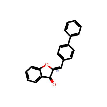 O=C1/C(=C/c2ccc(-c3ccccc3)cc2)Oc2ccccc21